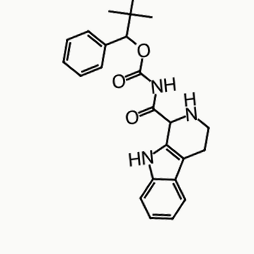 CC(C)(C)C(OC(=O)NC(=O)C1NCCc2c1[nH]c1ccccc21)c1ccccc1